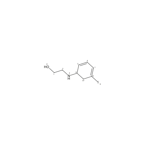 OCCNC1C=CC=C(I)C1